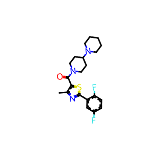 Cc1nc(-c2cc(F)ccc2F)sc1C(=O)N1CCC(N2CCCCC2)CC1